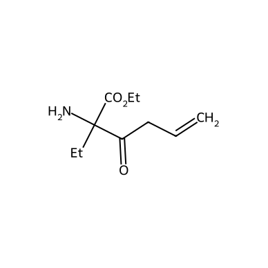 C=CCC(=O)C(N)(CC)C(=O)OCC